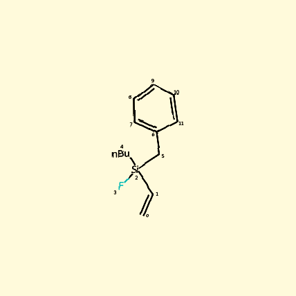 C=C[Si](F)(CCCC)Cc1ccccc1